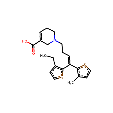 CCc1ccsc1C(=CCCN1CCC=C(C(=O)O)C1)c1sccc1C